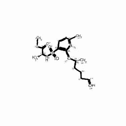 COC(=O)[C@H](C)NS(=O)(=O)c1ccc(C)nc1O[C@H](C)CCCCO